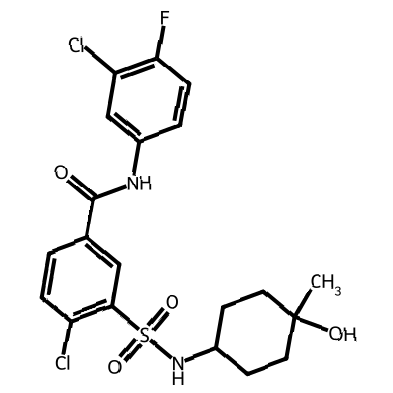 CC1(O)CCC(NS(=O)(=O)c2cc(C(=O)Nc3ccc(F)c(Cl)c3)ccc2Cl)CC1